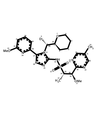 CC[C@H]([C@@H]1CCCCO1)n1c(NS(=O)(=O)[C@@H](C)[C@H](OC)c2ncc(C)cn2)nnc1-c1cccc(OC)n1